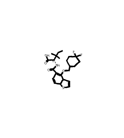 CCC(C)(C)[C@H](NC(=O)C1=C(OCC2CCC(F)(F)CC2)C2C=CSC2C=C1)C(=O)O